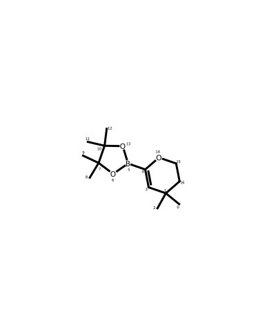 CC1(C)C=C(B2OC(C)(C)C(C)(C)O2)OCC1